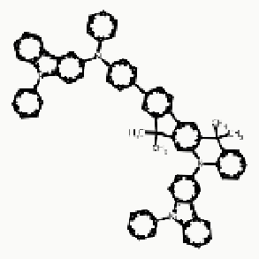 CC1(C)c2cc(-c3ccc(N(c4ccccc4)c4ccc5c(c4)c4ccccc4n5-c4ccccc4)cc3)ccc2-c2cc3c(cc21)N(c1ccc2c(c1)c1ccccc1n2-c1ccccc1)c1ccccc1C3(C)C